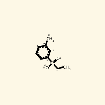 CCP(=O)(O)c1cccc(C)c1